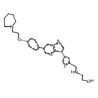 OCCNCc1cc(-c2cnn3cc(-c4ccc(OCCN5CCCCC5)cc4)cnc23)cs1